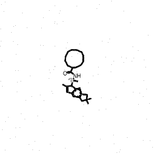 CC1=Cc2cc3c(cc2[CH]1[Ti]([CH3])([CH3])[NH]C(=O)C1CCCCCCCCCCC1)CC(C)(C)C3